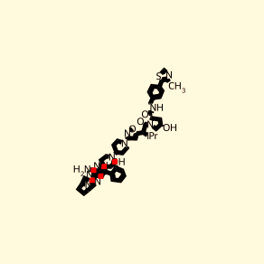 Cc1ncsc1-c1ccc(CNC(=O)[C@@H]2C[C@@H](O)CN2C(=O)C(c2cc(N3CCC(N4CCC(c5cnc(N6C7CCC6CN(c6cc(-c8ccccc8O)nnc6N)C7)nc5)CC4)CC3)no2)C(C)C)cc1